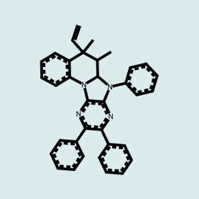 C=CC1(C)c2ccccc2N2c3nc(-c4ccccc4)c(-c4ccccc4)nc3N(c3ccccc3)C2C1C